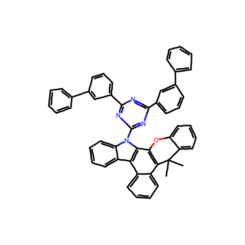 CC1(C)c2ccccc2Oc2c1c1ccccc1c1c3ccccc3n(-c3nc(-c4cccc(-c5ccccc5)c4)nc(-c4cccc(-c5ccccc5)c4)n3)c21